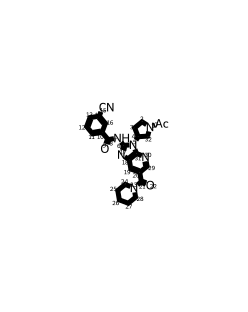 CC(=O)N1CCC(n2c(NC(=O)c3cccc(C#N)c3)nc3cc(C(=O)N4CCCCC4)cnc32)C1